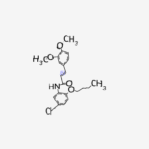 CCCCOc1ccc(Cl)cc1NC(=O)/C=C/c1ccc(OC)c(OC)c1